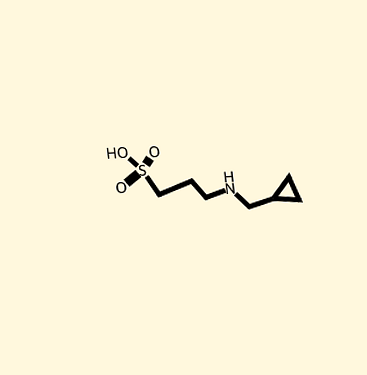 O=S(=O)(O)CCCNCC1CC1